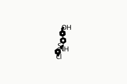 OCc1ccc([C@H]2CC[C@@H](CC(=S)Nc3cccc(Cl)c3)CC2)cc1